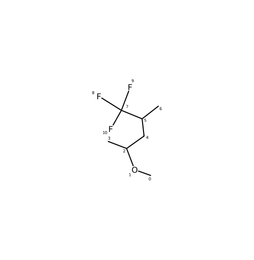 COC(C)CC(C)C(F)(F)F